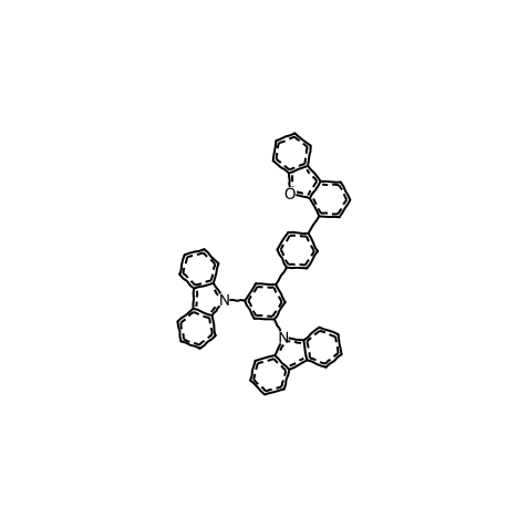 c1ccc2c(c1)oc1c(-c3ccc(-c4cc(-n5c6ccccc6c6ccccc65)cc(-n5c6ccccc6c6ccccc65)c4)cc3)cccc12